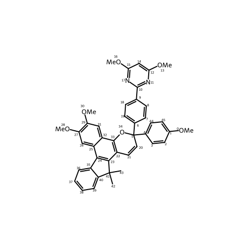 COc1ccc(C2(c3ccc(-c4nc(OC)cc(OC)n4)cc3)C=Cc3c4c(c5cc(OC)c(OC)cc5c3O2)-c2ccccc2C4(C)C)cc1